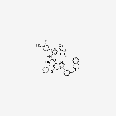 CC(C)(C)c1cc(NC(=O)NCc2ccccc2Sc2ccc3nnc(-c4cccc(CN5CCc6ccccc6C5)c4)n3c2)n(-c2ccc(O)c(F)c2)n1